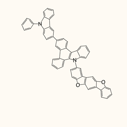 c1ccc(-n2c3ccccc3c3cc(-c4ccc5c(c4)c4ccccc4c4c5c5ccccc5n4-c4ccc5oc6cc7c(cc6c5c4)oc4ccccc47)ccc32)cc1